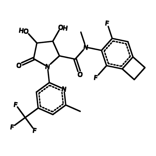 Cc1cc(C(F)(F)F)cc(N2C(=O)C(O)C(O)C2C(=O)N(C)c2c(F)cc3c(c2F)CC3)n1